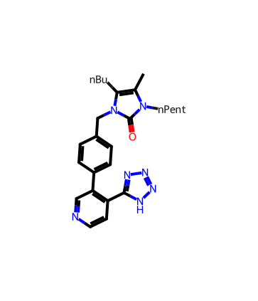 CCCCCn1c(C)c(CCCC)n(Cc2ccc(-c3cnccc3-c3nnn[nH]3)cc2)c1=O